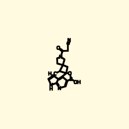 C[C@H]1C2(CCN(C(=O)CC#N)C2)CC12OB(O)c1cnc3[nH]ccc3c12